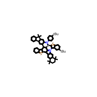 CC(C)(C)c1ccc(N2B3c4sc5ccc(C(C)(C)C)cc5c4-n4c5cc6c(cc5c5c7sc8ccccc8c7c(c3c54)-c3cc4c(cc32)C(C)(C)c2ccccc2-4)C(C)(C)CCC6(C)C)cc1